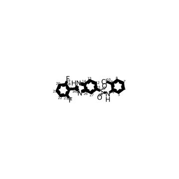 O=S(=O)(Nc1ccccc1Cl)c1ccc2[nH]c(-c3c(F)cccc3F)nc2c1